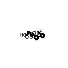 CC(C(=O)N1CCC1C(=O)O)c1cccc(-c2ccccc2C(F)(F)F)c1